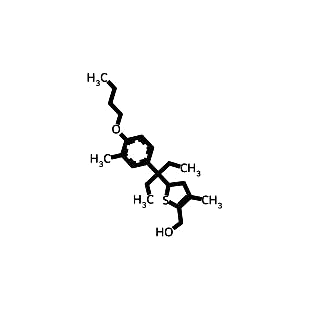 CCCCOc1ccc(C(CC)(CC)C2CC(C)=C(CO)S2)cc1C